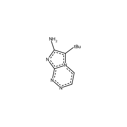 CC(C)(C)c1c(N)nc2nnccn12